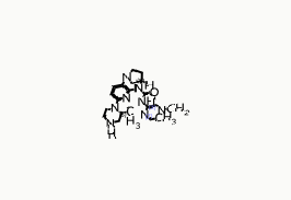 C=N/C=C(\N=C/C)NC(=O)N1c2nc(N3CCNC[C@@H]3C)ccc2N2CC[C@H]1C2